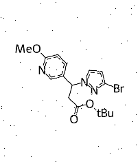 COc1ccc(C(CC(=O)OC(C)(C)C)n2ccc(Br)n2)cn1